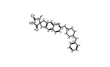 CN1C(=O)NC(=O)C12Cc1cc3ccc(CN4CCC(Cc5ccccc5)CC4)nc3cc1C2